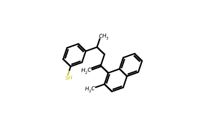 C=C(CC(C)c1cccc(S)c1)c1c(C)ccc2ccccc12